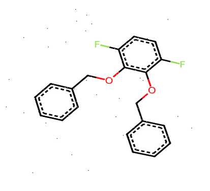 Fc1ccc(F)c(OCc2ccccc2)c1OCc1ccccc1